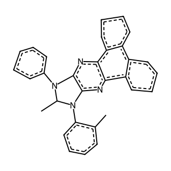 Cc1ccccc1N1c2nc3c4ccccc4c4ccccc4c3nc2N(c2ccccc2)C1C